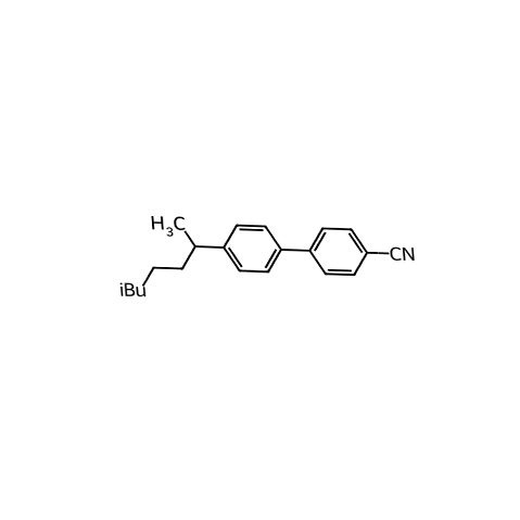 CCC(C)CCC(C)c1ccc(-c2ccc(C#N)cc2)cc1